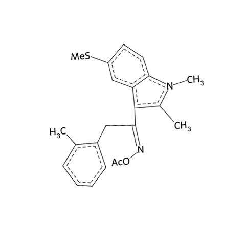 CSc1ccc2c(c1)c(/C(Cc1ccccc1C)=N/OC(C)=O)c(C)n2C